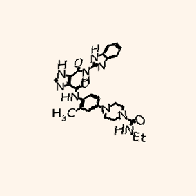 CCNC(=O)N1CCN(c2ccc(NC(=O)c3nc[nH]c3C(=O)Nc3nc4ccccc4[nH]3)c(C)c2)CC1